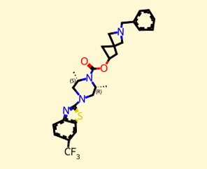 C[C@@H]1CN(c2nc3ccc(C(F)(F)F)cc3s2)C[C@H](C)N1C(=O)OC1CC2(C1)CN(Cc1ccccc1)C2